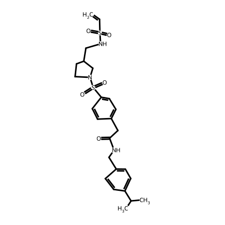 C=CS(=O)(=O)NCC1CCN(S(=O)(=O)c2ccc(CC(=O)NCc3ccc(C(C)C)cc3)cc2)C1